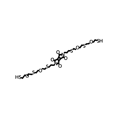 O=C1C2C(C(=O)N1CCCSCCOCCSCCOCCS)C1C(=O)N(CCCSCCOCCSCCOCCS)C(=O)C21